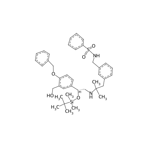 CC(C)(Cc1cccc(CNS(=O)(=O)c2ccccc2)c1)NC[C@H](O[Si](C)(C)C(C)(C)C)c1ccc(OCc2ccccc2)c(CO)c1